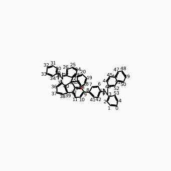 c1ccc(N(c2ccc(-c3ccc4c(c3)C3(c5ccccc5)c5ccccc5N(c5ccccc5)c5cccc-4c53)cc2)c2ccc3ccccc3c2)cc1